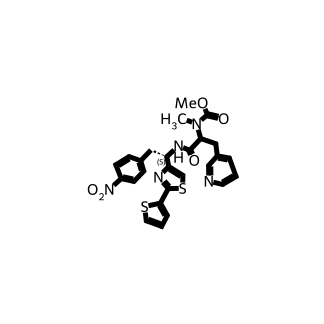 COC(=O)N(C)C(Cc1cccnc1)C(=O)N[C@@H](Cc1ccc([N+](=O)[O-])cc1)c1csc(-c2cccs2)n1